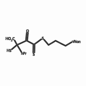 CCCCCCCCCCCCSC(=S)C(=O)C(S)(CCC)C(=O)O